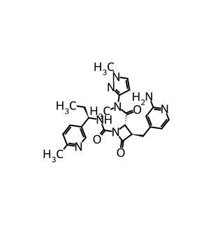 CC[C@@H](NC(=O)N1C(=O)[C@H](Cc2ccnc(N)c2)[C@H]1C(=O)N(C)c1ccn(C)n1)c1ccc(C)nc1